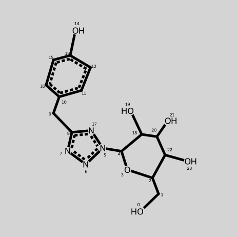 OCC1OC(n2nnc(Cc3ccc(O)cc3)n2)C(O)C(O)C1O